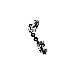 CC(C)[C@H](NS(=O)(=O)N(C)C)C(=O)N1CCCC1c1ncc(-c2ccc(-c3ccc(-c4cnc(C5CCCN5C(=O)[C@@H](NS(=O)(=O)N(C)C)C(C)C)[nH]4)cc3)cc2)[nH]1